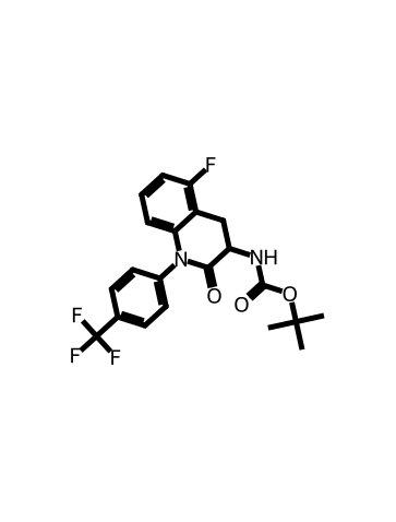 CC(C)(C)OC(=O)NC1Cc2c(F)cccc2N(c2ccc(C(F)(F)F)cc2)C1=O